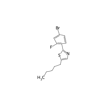 CCCCCc1cnc(-c2ccc(Br)cc2F)s1